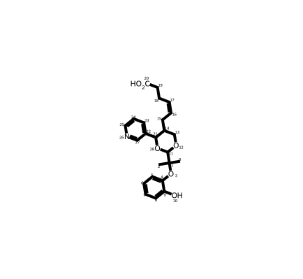 CC(C)(Oc1ccccc1O)C1OCC(C/C=C\CCC(=O)O)C(c2cccnc2)O1